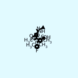 Cc1cc(F)cc(C)c1Oc1ccc(C(C)(C)O)cc1-c1cn(C)c(=O)c2cc(-c3cnc(C4CC4)[nH]3)oc12